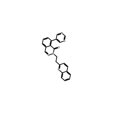 O=c1c2c(-c3cncnc3)cccc2cnn1CCc1ccc2ccccc2n1